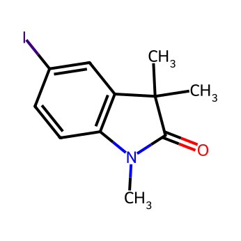 CN1C(=O)C(C)(C)c2cc(I)ccc21